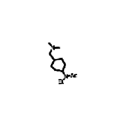 CCN(C(C)=O)C1CCC(CN(C)C)CC1